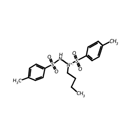 CCCC[N+](NS(=O)(=O)c1ccc(C)cc1)S(=O)(=O)c1ccc(C)cc1